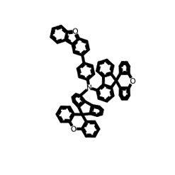 c1ccc2c(c1)Oc1ccccc1C21c2ccccc2-c2c(N(c3ccc(-c4ccc5oc6ccccc6c5c4)cc3)c3cccc4c3-c3ccccc3C43c4ccccc4Oc4ccccc43)cccc21